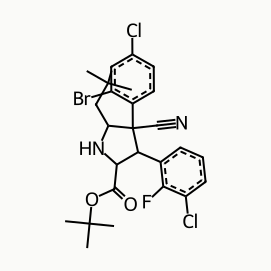 CC(C)(C)CC1NC(C(=O)OC(C)(C)C)C(c2cccc(Cl)c2F)C1(C#N)c1ccc(Cl)cc1Br